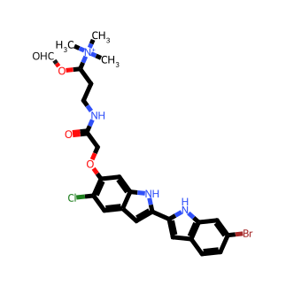 C[N+](C)(C)C(CCNC(=O)COc1cc2[nH]c(-c3cc4ccc(Br)cc4[nH]3)cc2cc1Cl)OC=O